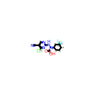 N#Cc1cnc(NN(C(=O)O)C2CCCC(F)(F)C2)nc1Cl